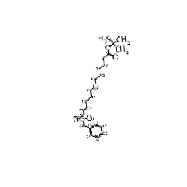 CC(C)(C)OC(=O)CCCCCOCCCCOS(=O)(=O)Cc1ccccc1